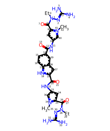 CCN(N=C(N)N)C(=O)c1cc(NC(=O)c2ccc3[nH]c(C(=O)Nc4cc(C(=O)N(CC)N=C(N)N)n(C)c4)cc3c2)cn1C